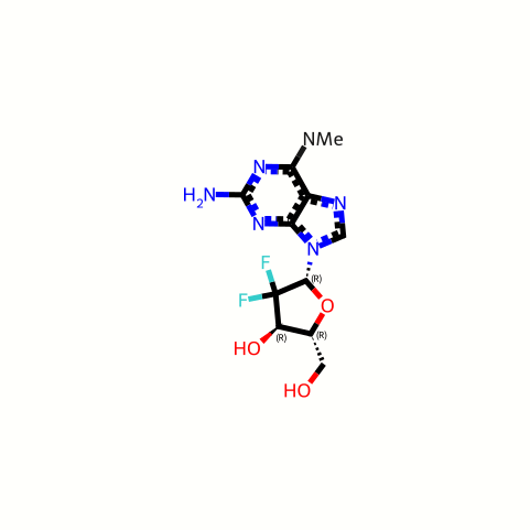 CNc1nc(N)nc2c1ncn2[C@@H]1O[C@H](CO)[C@@H](O)C1(F)F